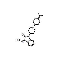 CC(C)=C1CCC(N2CCC(N3C(=O)/C(=N\O)c4ccccc43)CC2)CC1